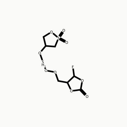 O=C1OC(F)C(COO[SH2]OC2COS(=O)(=O)C2)O1